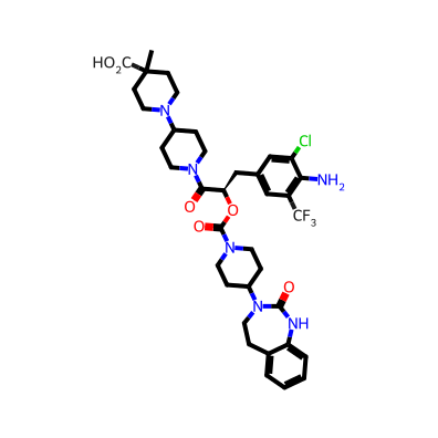 CC1(C(=O)O)CCN(C2CCN(C(=O)[C@@H](Cc3cc(Cl)c(N)c(C(F)(F)F)c3)OC(=O)N3CCC(N4CCc5ccccc5NC4=O)CC3)CC2)CC1